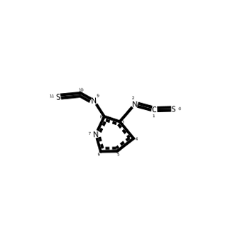 S=C=Nc1cccnc1N=C=S